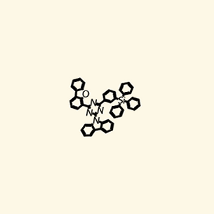 c1ccc([Si](c2ccccc2)(c2ccccc2)c2cccc(-c3nc(-c4cccc5c4oc4ccccc45)nc(-n4c5ccccc5c5ccccc54)n3)c2)cc1